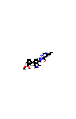 CCCC(=N)/C=C(\NC)C(=O)NCc1ccc(-c2cccc(C(=O)OC)c2)c2ccncc12